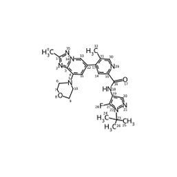 Cc1nc2c(N3CCOCC3)cc(-c3cc(C(=O)Nc4cnn(C(C)(C)C)c4F)ncc3C)cn2n1